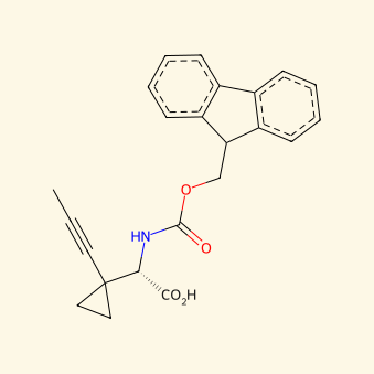 CC#CC1([C@H](NC(=O)OCC2c3ccccc3-c3ccccc32)C(=O)O)CC1